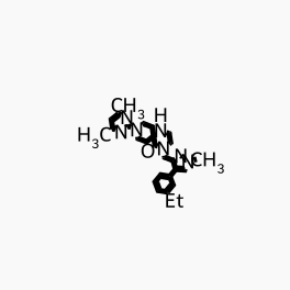 CCc1cccc(-c2cn(C)nc2CN2CCNC3(CCN(c4nc(C)cc(C)n4)CC3)C2=O)c1